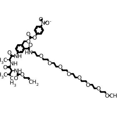 C=CCOC(=O)N[C@H](C(=O)N[C@@H](C)C(=O)Nc1ccc(COC(=O)Oc2ccc([N+](=O)[O-])cc2)c(C(=O)NCCOCCOCCOCCOCCOCCOCCOCCOC)c1)C(C)C